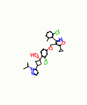 Cc1cccc(Cl)c1-c1noc(C2CC2)c1COc1ccc(C2(O)CC(c3ccnn3C(C)C)C2)c(Cl)c1